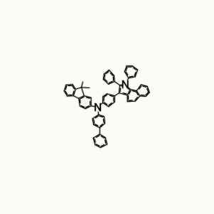 CC1(C)c2ccccc2-c2ccc(N(c3ccc(-c4ccccc4)cc3)c3ccc(-c4c(-c5ccccc5)n(-c5ccccc5)c5c4ccc4ccccc45)cc3)cc21